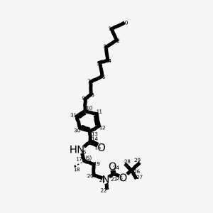 CCCCCCCCCCc1ccc(C(=O)N[C@@H](C)CCN(C)C(=O)OC(C)(C)C)cc1